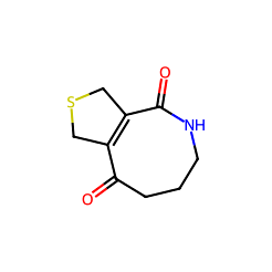 O=C1CCCNC(=O)C2=C1CSC2